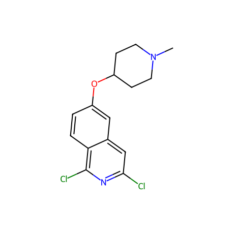 CN1CCC(Oc2ccc3c(Cl)nc(Cl)cc3c2)CC1